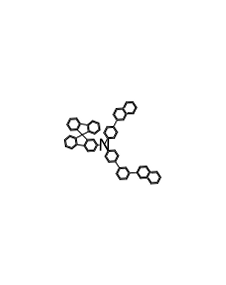 c1cc(-c2ccc(N(c3ccc(-c4ccc5ccccc5c4)cc3)c3ccc4c(c3)C3(c5ccccc5-c5ccccc53)c3ccccc3-4)cc2)cc(-c2ccc3ccccc3c2)c1